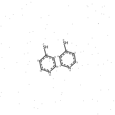 Sc1ccncc1.Sc1ccncc1